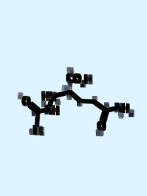 CCC(=O)NN[C@@H](CCC(N)=O)C(=O)O